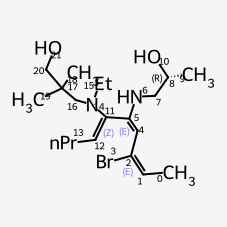 C\C=C(Br)/C=C(NC[C@@H](C)O)\C(=C\CCC)N(CC)CC(C)(C)CO